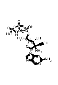 C#CC1(N)[C@@H](O)[C@@H]([C@H](C)OP(=O)(O)OP(=O)(O)OP(=O)(O)O)O[C@H]1n1cnc2cnc(N)nc21